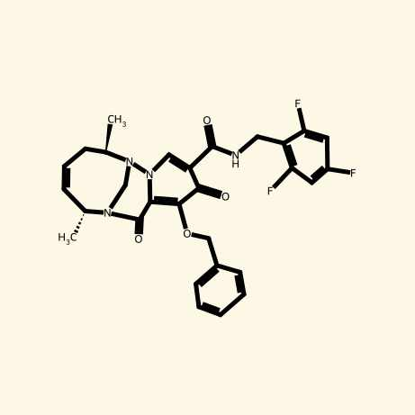 C[C@@H]1/C=C\C[C@@H](C)N2CN1C(=O)c1c(OCc3ccccc3)c(=O)c(C(=O)NCc3c(F)cc(F)cc3F)cn12